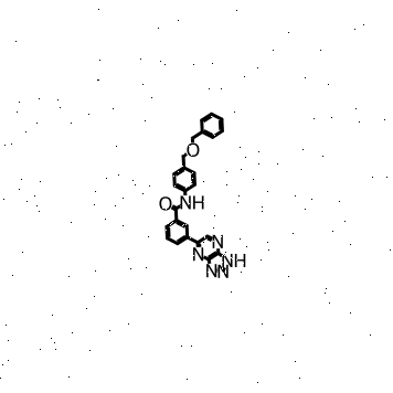 O=C(Nc1ccc(COCc2ccccc2)cc1)c1cccc(-c2cnc3[nH]nnc3n2)c1